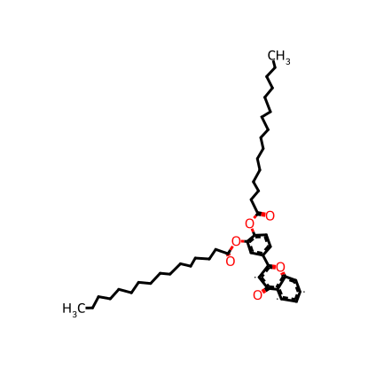 CCCCCCCCCCCCCCCC(=O)Oc1ccc(-c2[c]c(=O)c3[c]c[c]cc3o2)cc1OC(=O)CCCCCCCCCCCCCCC